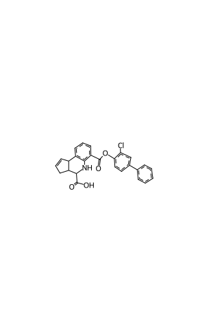 O=C(Oc1ccc(-c2ccccc2)cc1Cl)c1cccc2c1NC(C(=O)O)C1CC=CC21